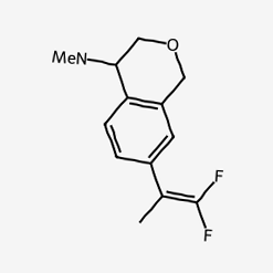 CNC1COCc2cc(C(C)=C(F)F)ccc21